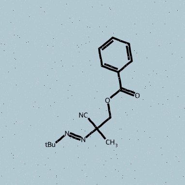 CC(C)(C)/N=N/C(C)(C#N)COC(=O)c1ccccc1